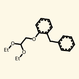 CCOC(COc1ccccc1Cc1ccccc1)OCC